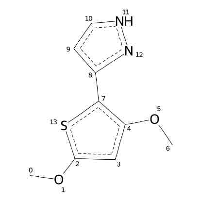 COc1cc(OC)c(-c2cc[nH]n2)s1